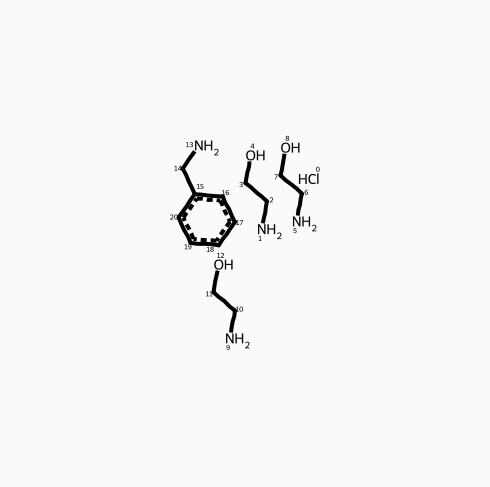 Cl.NCCO.NCCO.NCCO.NCc1ccccc1